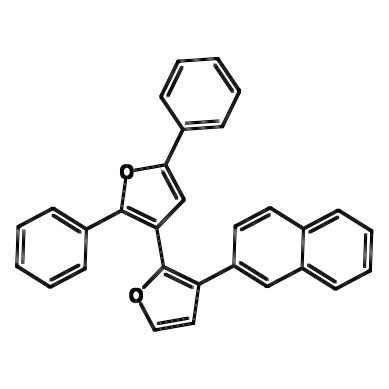 c1ccc(-c2cc(-c3occc3-c3ccc4ccccc4c3)c(-c3ccccc3)o2)cc1